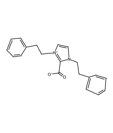 O=C([O-])c1n(CCc2ccccc2)cc[n+]1CCc1ccccc1